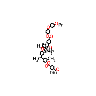 CCC(C)(C(=O)c1ccc(C(=O)Oc2ccc(Oc3ccc(OC(C)C)cc3)cc2)cc1)C(C)(C)Oc1ccc(C(C)c2ccc(OC(=O)c3ccc(C(=O)C(C)(C)C)cc3)c(C)c2)cc1C